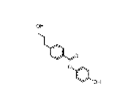 O=C(Oc1ccc(O)cc1)c1ccc(CCCO)cc1